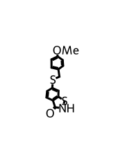 COc1ccc(CSc2ccc3c(=O)[nH]sc3c2)cc1